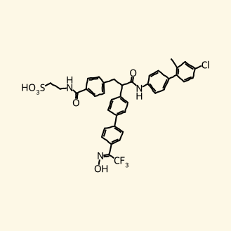 Cc1cc(Cl)ccc1-c1ccc(NC(=O)C(Cc2ccc(C(=O)NCCS(=O)(=O)O)cc2)c2ccc(-c3ccc(/C(=N/O)C(F)(F)F)cc3)cc2)cc1